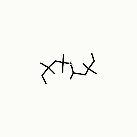 CCC(C)(C)CC(C)SC(C)(C)CC(C)(C)CC